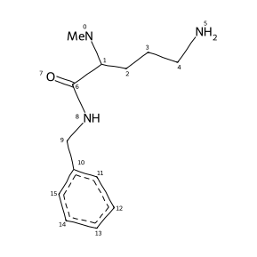 CNC(CCCN)C(=O)NCc1ccccc1